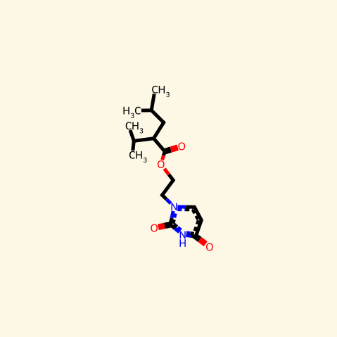 CC(C)CC(C(=O)OCCn1ccc(=O)[nH]c1=O)C(C)C